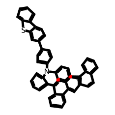 c1ccc(N(c2ccc(-c3ccc4c(c3)sc3ccccc34)cc2)c2ccc(-c3cccc4ccccc34)cc2)c(-c2cc3ccccc3c3ccccc23)c1